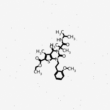 CCOC(=O)c1sc2c(c1C)c(=O)n(C(C)(C)C(=O)NC(C)C)c(=O)n2CCc1ccccc1OC